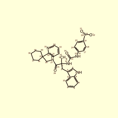 CC(Cc1c[nH]c2ccccc12)(NC(=O)Nc1ccc([N+](=O)[O-])cc1)C(=O)NCC1(c2ccccn2)CCCCC1